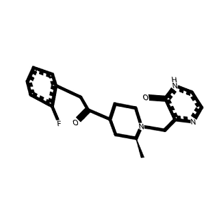 C[C@H]1CC(C(=O)Cc2ccccc2F)CCN1Cc1ncc[nH]c1=O